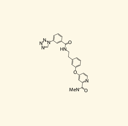 CNC(=O)c1cc(Oc2cccc(CCNC(=O)c3cccc(-n4cnnn4)c3)c2)ccn1